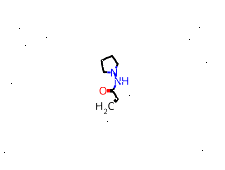 C=CC(=O)NN1CCCC1